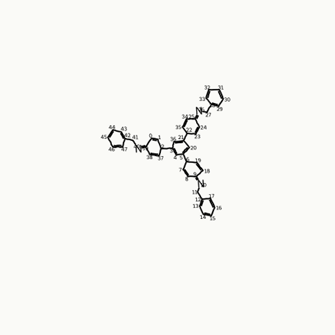 C1=CC(c2cc(C3C=CC(=NCc4ccccc4)C=C3)cc(C3C=CC(=NCc4ccccc4)C=C3)c2)C=CC1=NCc1ccccc1